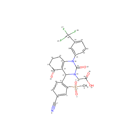 CS(=O)(=O)c1cc(C#N)ccc1C1C2=C(CCCC2=O)N(c2cccc(C(F)(F)F)c2)C(=O)N1CC(=O)O